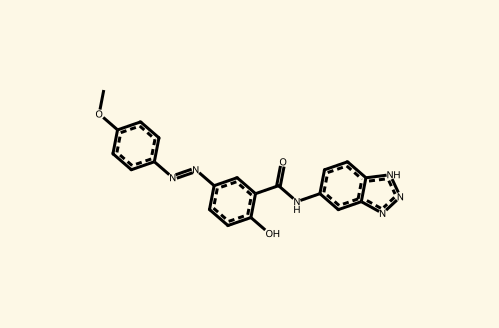 COc1ccc(/N=N/c2ccc(O)c(C(=O)Nc3ccc4[nH]nnc4c3)c2)cc1